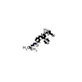 CN(C)C/C=C/C(=O)N1CCC(Cc2cc(N3CCOCC3)cc(Nc3ncc(C#N)s3)n2)CC1